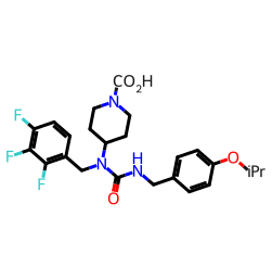 CC(C)Oc1ccc(CNC(=O)N(Cc2ccc(F)c(F)c2F)C2CCN(C(=O)O)CC2)cc1